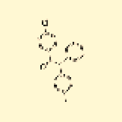 Cc1ccc(C(C(=O)c2ccc(Cl)cc2)c2ccccc2)cc1